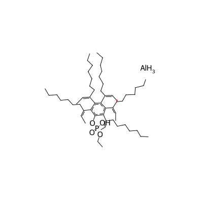 C/C=C(/CCCCCCC)c1c(OP(=O)(O)OCC)c(/C(=C\C)CCCCCCC)c(/C(=C\C)CCCCCCC)c(/C(=C\C)CCCCCCC)c1/C(=C\C)CCCCCCC.[AlH3]